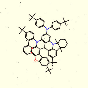 CC(C)(C)c1ccc(N(c2ccc(C(C)(C)C)cc2)c2cc3c4c(c2)N2c5c(cc(C(C)(C)C)cc5C5(C)CCCCC25C)B4c2c(ccc4oc5cc(C(C)(C)C)ccc5c24)N3c2ccc(C(C)(C)C)cc2-c2ccccc2)cc1